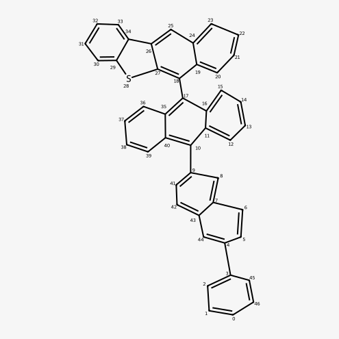 c1ccc(-c2ccc3cc(-c4c5ccccc5c(-c5c6ccccc6cc6c5sc5ccccc56)c5ccccc45)ccc3c2)cc1